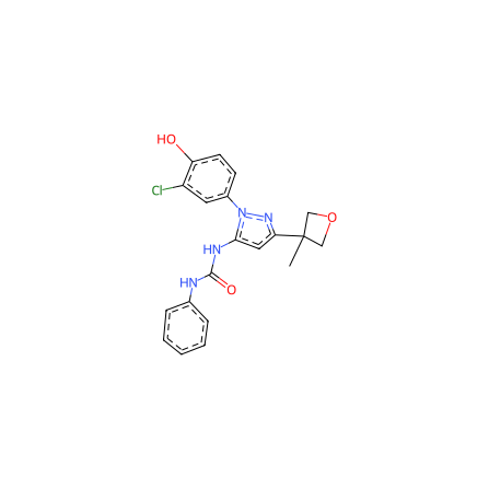 CC1(c2cc(NC(=O)Nc3ccccc3)n(-c3ccc(O)c(Cl)c3)n2)COC1